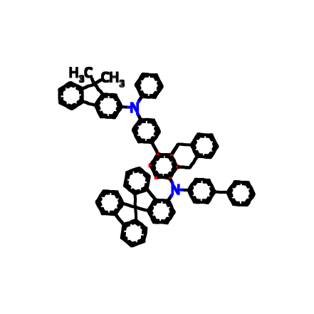 CC1(C)c2ccccc2-c2ccc(N(c3ccccc3)c3ccc(-c4ccc(N(c5ccc(-c6ccccc6)cc5)c5cccc6c5-c5ccccc5C65c6ccccc6-c6ccccc65)c5c4C4c6ccccc6C5c5ccccc54)cc3)cc21